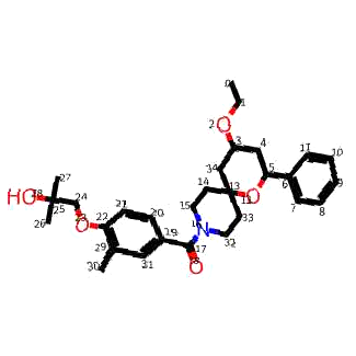 CCOC1CC(c2ccccc2)OC2(CCN(C(=O)c3ccc(OCC(C)(C)O)c(C)c3)CC2)C1